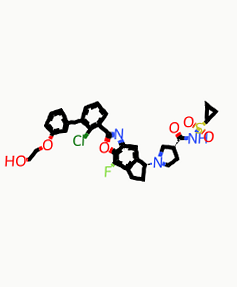 O=C(NS(=O)(=O)C1CC1)[C@@H]1CCN([C@@H]2CCc3c2cc2nc(-c4cccc(-c5cccc(OCCO)c5)c4Cl)oc2c3F)C1